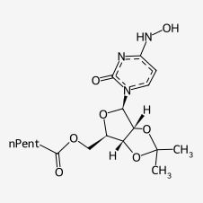 CCCCCC(=O)OC[C@H]1O[C@@H](n2ccc(NO)nc2=O)[C@@H]2OC(C)(C)O[C@@H]21